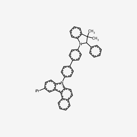 CC(C)c1ccc2c(c1)c1c3ccccc3ccc1n2-c1ccc(-c2ccc(N3c4ccccc4C(C)(C)C3c3ccccc3)cc2)cc1